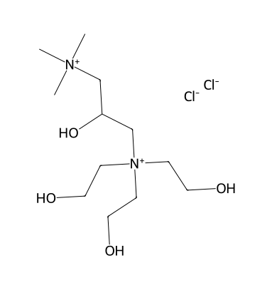 C[N+](C)(C)CC(O)C[N+](CCO)(CCO)CCO.[Cl-].[Cl-]